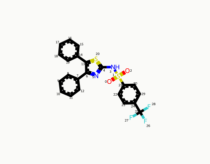 O=S(=O)(Nc1nc(-c2ccccc2)c(-c2ccccc2)s1)c1ccc(C(F)(F)F)cc1